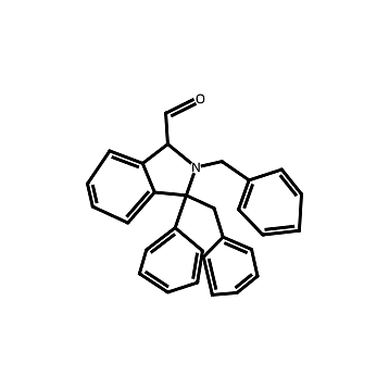 O=CC1c2ccccc2C(Cc2ccccc2)(c2ccccc2)N1Cc1ccccc1